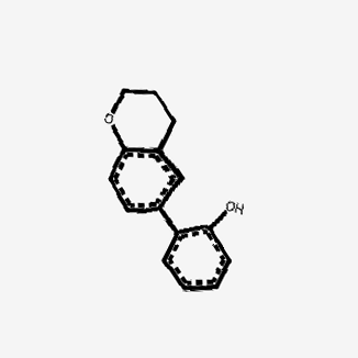 Oc1ccccc1-c1ccc2c(c1)CCCO2